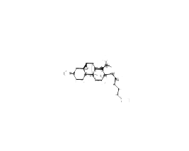 CC(C)CCC[C@@H](C)[C@H]1C[C@@H](O)[C@H]2[C@@H]3CC=C4C[C@H](O)CC[C@]4(C)[C@H]3CC[C@@]21C